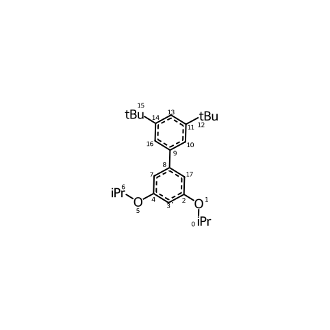 CC(C)Oc1[c]c(OC(C)C)cc(-c2cc(C(C)(C)C)cc(C(C)(C)C)c2)c1